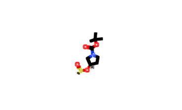 CS(=O)O[C@@H]1CCN(C(=O)OC(C)(C)C)C1